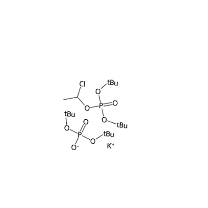 CC(C)(C)OP(=O)([O-])OC(C)(C)C.CC(Cl)OP(=O)(OC(C)(C)C)OC(C)(C)C.[K+]